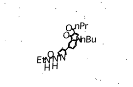 CCCCn1cc(C(=O)CCC)c(=O)c2cc(-c3ccc(NC(=O)NCC)nc3)ccc21